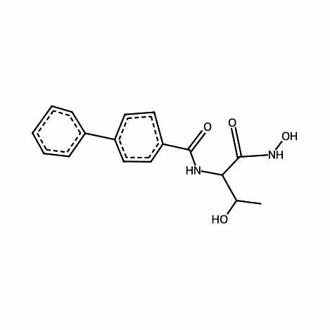 CC(O)C(NC(=O)c1ccc(-c2ccccc2)cc1)C(=O)NO